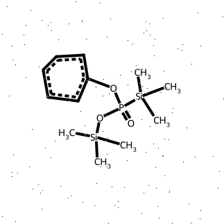 C[Si](C)(C)OP(=O)(Oc1ccccc1)[Si](C)(C)C